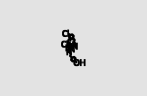 CN(CCCc1ccc(Cl)cc1Cl)c1nc(Cl)nc(N(C)CCc2ccc(O)cc2)n1